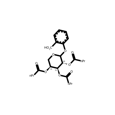 CCCC(=O)O[C@H]1[C@@H](OC(=O)CCC)COC(Oc2ccccc2C(=O)O)[C@@H]1OC(=O)CCC